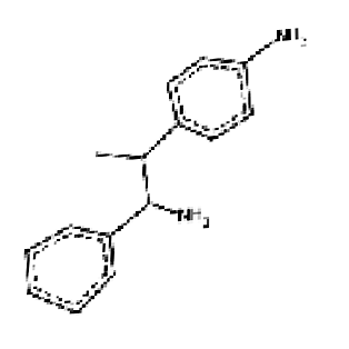 CC(c1ccc(N)cc1)C(N)c1ccccc1